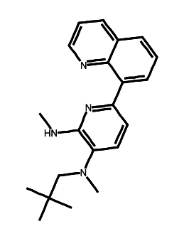 CNc1nc(-c2cccc3cccnc23)ccc1N(C)CC(C)(C)C